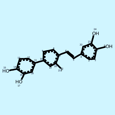 Oc1ccc(/C=C/c2ccc(-c3ccc(O)c(O)c3)cc2F)cc1O